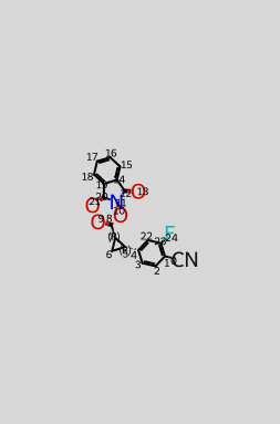 N#Cc1ccc([C@@H]2C[C@H]2C(=O)ON2C(=O)c3ccccc3C2=O)cc1F